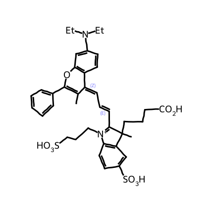 CCN(CC)c1ccc2c(c1)OC(c1ccccc1)=C(C)/C2=C\C=C\C1=[N+](CCCS(=O)(=O)O)c2ccc(S(=O)(=O)O)cc2C1(C)CCCC(=O)O